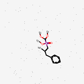 CCOC(OCC)P(=O)(CC(C#N)Cc1ccccc1)OCC